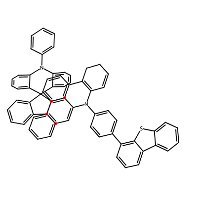 C1=CC(N(c2ccc(-c3cccc4c3sc3ccccc34)cc2)c2ccc3c(c2)C2(c4ccccc4-3)c3ccccc3N(c3ccccc3)c3ccccc32)=C(c2cccc(-c3ccccc3)c2)CC1